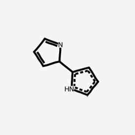 [c]1ccc(C2C=CC=N2)[nH]1